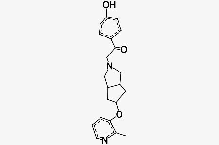 Cc1ncccc1OC1CC2CN(CC(=O)c3ccc(O)cc3)CC2C1